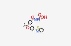 CC(C)C(Oc1ccc(-c2nc3ccccc3s2)cc1)c1ccc(C(=O)NCCC(=O)O)cc1